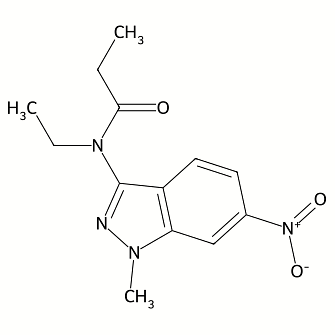 CCC(=O)N(CC)c1nn(C)c2cc([N+](=O)[O-])ccc12